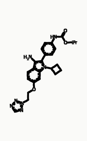 CC(C)OC(=O)Nc1ccc(-c2c(N)c3ccc(OCCn4ncnn4)cc3n2C2CCC2)cc1